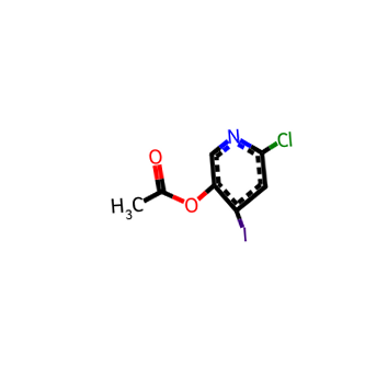 CC(=O)Oc1cnc(Cl)cc1I